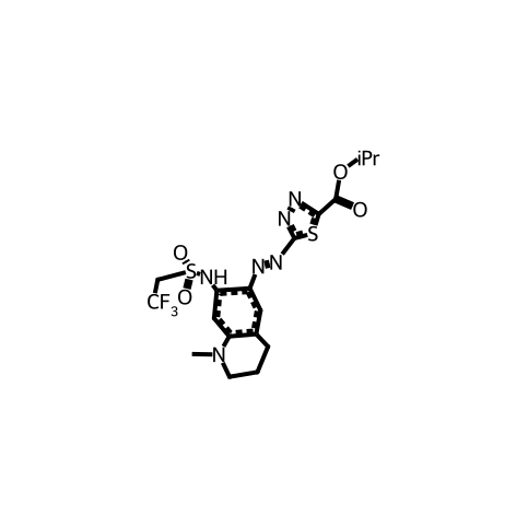 CC(C)OC(=O)c1nnc(N=Nc2cc3c(cc2NS(=O)(=O)CC(F)(F)F)N(C)CCC3)s1